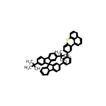 CC(C)(C)c1ccc2c(c1)C1(c3ccccc3-c3ccc(-c4cccc(-c5ccc6c(c5)-c5cccc7cccc(c57)S6)c4)cc31)c1cc(C(C)(C)C)ccc1-2